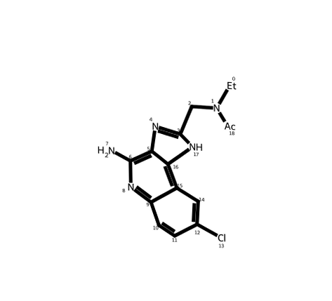 CCN(Cc1nc2c(N)nc3ccc(Cl)cc3c2[nH]1)C(C)=O